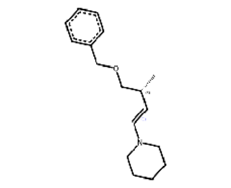 C[C@H](/C=C/N1CCCCC1)COCc1ccccc1